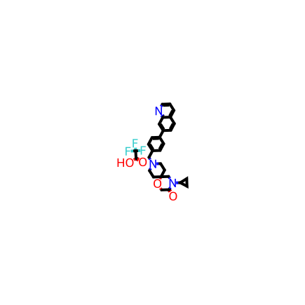 O=C(O)C(F)(F)F.O=C1COC2(CCN(Cc3ccc(-c4ccc5cccnc5c4)cc3)CC2)CN1C1CC1